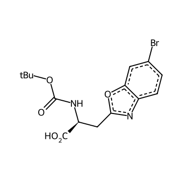 CC(C)(C)OC(=O)N[C@@H](Cc1nc2ccc(Br)cc2o1)C(=O)O